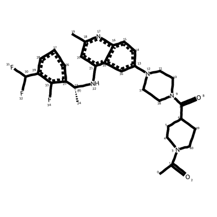 CC(=O)N1CCC(C(=O)N2CCN(c3ccc4nc(C)cc(N[C@H](C)c5cccc(C(F)F)c5F)c4c3)CC2)CC1